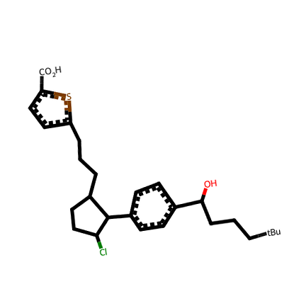 CC(C)(C)CCCC(O)c1ccc(C2C(Cl)CCC2CCCc2ccc(C(=O)O)s2)cc1